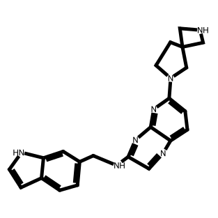 c1cc2ccc(CNc3cnc4ccc(N5CCC6(CNC6)C5)nc4n3)cc2[nH]1